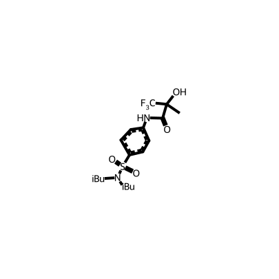 CCC(C)N(C(C)CC)S(=O)(=O)c1ccc(NC(=O)C(C)(O)C(F)(F)F)cc1